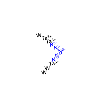 [N-3].[N-3].[N-3].[N-3].[N-3].[Ta+5].[Ta+5].[Ta+5].[W].[W].[W]